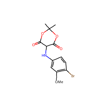 COc1cc(NC2C(=O)OC(C)(C)OC2=O)ccc1Br